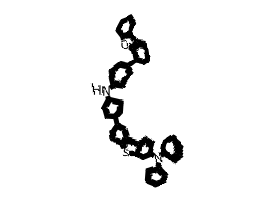 c1ccc(N(c2ccccc2)c2ccc3c(c2)sc2ccc(-c4ccc(Nc5ccc(-c6cccc7c6oc6ccccc67)cc5)cc4)cc23)cc1